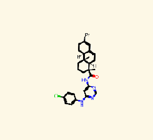 CC(C)C1=CC2=CC[C@@H]3[C@](C)(CCC[C@@]3(C)C(=O)Nc3cc(Nc4ccc(Cl)cc4)ncn3)[C@H]2CC1